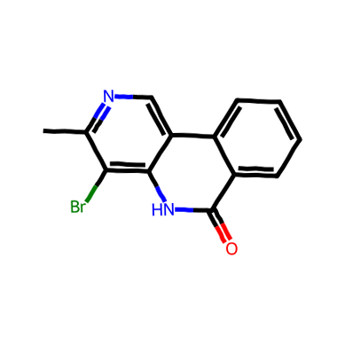 Cc1ncc2c([nH]c(=O)c3ccccc32)c1Br